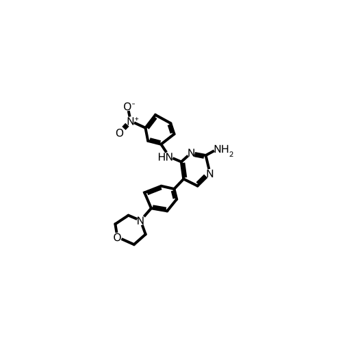 Nc1ncc(-c2ccc(N3CCOCC3)cc2)c(Nc2cccc([N+](=O)[O-])c2)n1